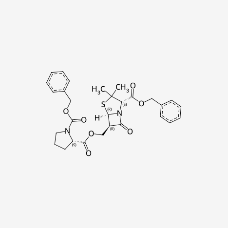 CC1(C)S[C@@H]2[C@H](COC(=O)[C@@H]3CCCN3C(=O)OCc3ccccc3)C(=O)N2[C@H]1C(=O)OCc1ccccc1